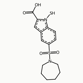 O=C(O)c1cc2cc(S(=O)(=O)N3CCCCCC3)ccc2n1S